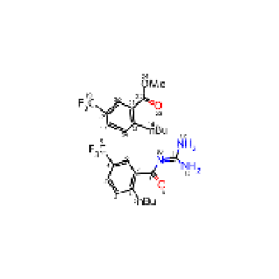 CCCCc1ccc(C(F)(F)F)cc1C(=O)N=C(N)N.CCCCc1ccc(C(F)(F)F)cc1C(=O)OC